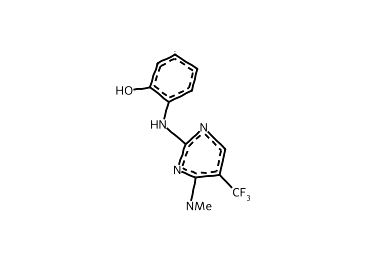 CNc1nc(Nc2cc[c]cc2O)ncc1C(F)(F)F